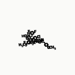 COc1ccc(CCS(=O)(=O)Nc2nn(C)c3c(-n4c([C@H](Cc5cc(F)cc(F)c5)NC(=O)O)nc5cc(C(C)(F)F)ccc5c4=O)ccc(Cl)c23)cc1